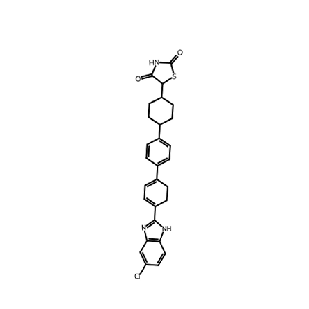 O=C1NC(=O)C(C2CCC(c3ccc(C4=CC=C(c5nc6cc(Cl)ccc6[nH]5)CC4)cc3)CC2)S1